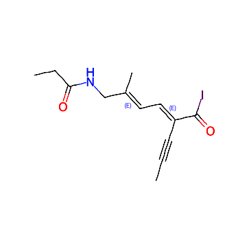 CC#C/C(=C\C=C(/C)CNC(=O)CC)C(=O)I